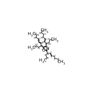 CCCC/C=C/C(CCC)c1nc(C(/C=C/CCCC)CCC)c(C(/C=C/CCCC)CCC)o1